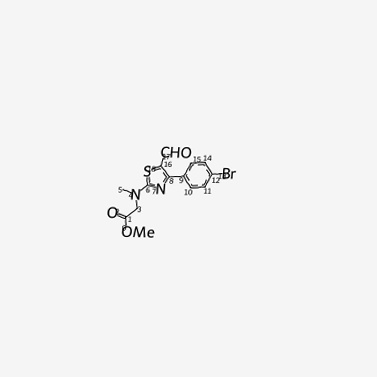 COC(=O)CN(C)c1nc(-c2ccc(Br)cc2)c(C=O)s1